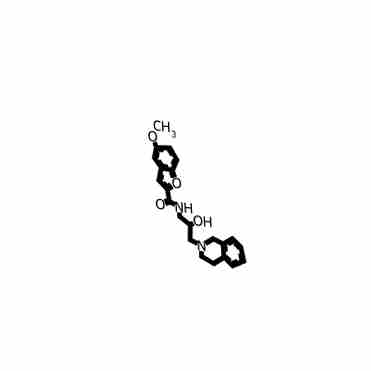 COc1ccc2oc(C(=O)NCC(O)CN3CCc4ccccc4C3)cc2c1